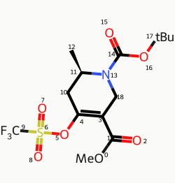 COC(=O)C1=C(OS(=O)(=O)C(F)(F)F)C[C@@H](C)N(C(=O)OC(C)(C)C)C1